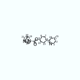 Cc1ccnc(-c2ccc(OC(=O)N3CCN4CCC3CC4)cc2)c1